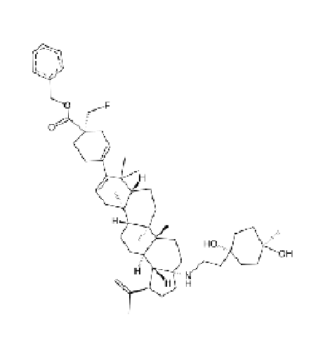 C=C(C)[C@@H]1CC[C@]2(NCC[C@]3(O)CC[C@](C)(O)CC3)CC[C@]3(C)[C@H](CC[C@@H]4[C@@]5(C)CC=C(C6=CC[C@](CF)(C(=O)OCc7ccccc7)CC6)C(C)(C)[C@@H]5CC[C@]43C)[C@@H]12